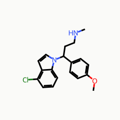 CNCCC(c1ccc(OC)cc1)n1ccc2c(Cl)cccc21